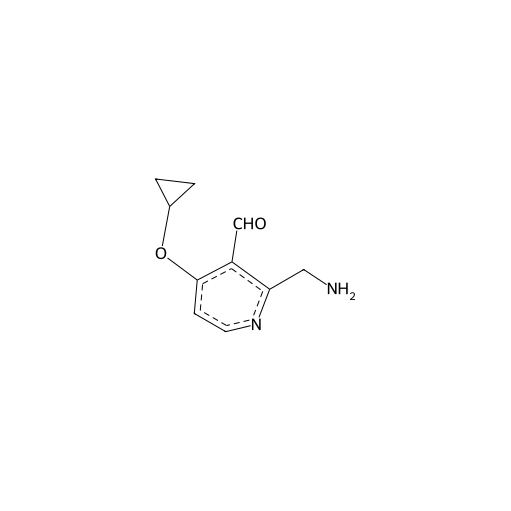 NCc1nccc(OC2CC2)c1C=O